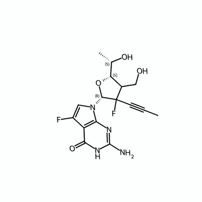 CC#CC1(F)C(CO)[C@@H]([C@H](C)O)O[C@H]1n1cc(F)c2c(=O)[nH]c(N)nc21